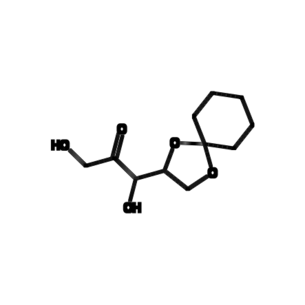 O=C(CO)C(O)C1COC2(CCCCC2)O1